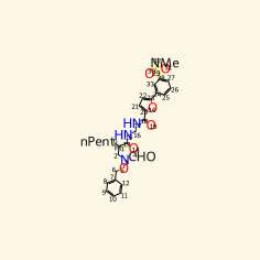 CCCCC[C@H](CN(C=O)OCc1ccccc1)C(=O)NCNC(=O)c1ccc(-c2cccc(S(=O)(=O)NC)c2)o1